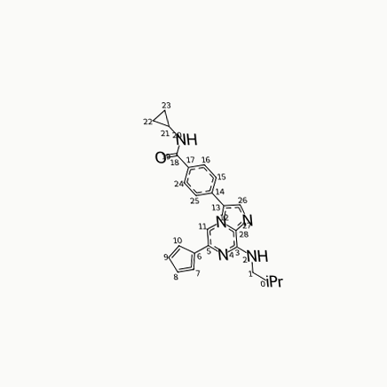 CC(C)CNc1nc(C2=C=CC=C2)cn2c(-c3ccc(C(=O)NC4CC4)cc3)cnc12